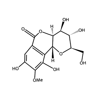 COc1c(O)cc2c(c1O)[C@H]1O[C@H](CO)[C@@H](O)[C@H](O)[C@@H]1OC2=O